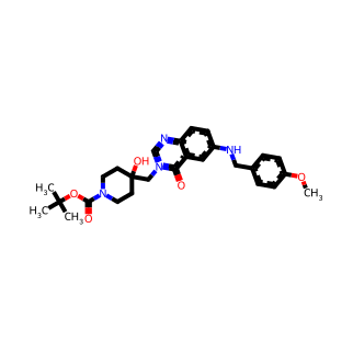 COc1ccc(CNc2ccc3ncn(CC4(O)CCN(C(=O)OC(C)(C)C)CC4)c(=O)c3c2)cc1